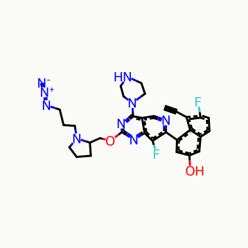 C#Cc1c(F)ccc2cc(O)cc(-c3ncc4c(N5CCNCC5)nc(OCC5CCCN5CCCN=[N+]=[N-])nc4c3F)c12